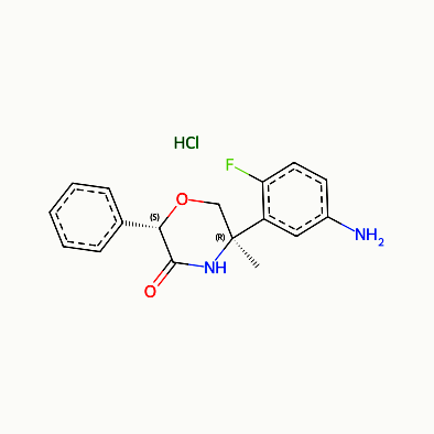 C[C@@]1(c2cc(N)ccc2F)CO[C@@H](c2ccccc2)C(=O)N1.Cl